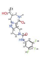 CCC(O)C1CN(C)C(=O)c2c3c(nn2C1)CCN(C(=O)Nc1cc(F)c(F)c(F)c1)C3